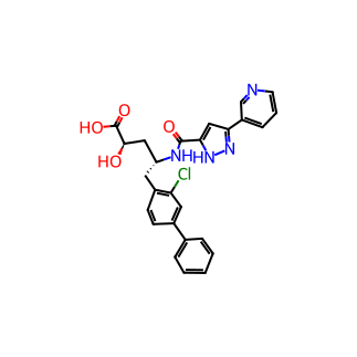 O=C(N[C@H](Cc1ccc(-c2ccccc2)cc1Cl)C[C@@H](O)C(=O)O)c1cc(-c2cccnc2)n[nH]1